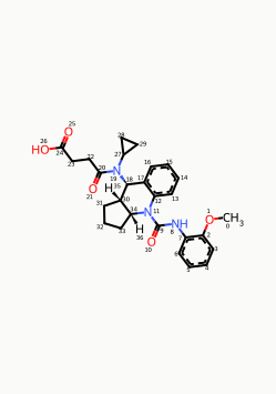 COc1ccccc1NC(=O)N1c2ccccc2[C@H](N(C(=O)CCC(=O)O)C2CC2)[C@H]2CCC[C@H]21